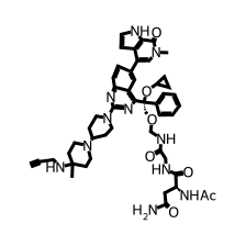 C#CCNC1(C)CCN(C2CCN(c3nc([C@@](COCNC(=O)CNC(=O)[C@H](CC(N)=O)NC(C)=O)(OC4CC4)c4ccccc4)c4cc(-c5cn(C)c(=O)c6[nH]ccc56)ccc4n3)CC2)CC1